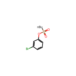 CCCCS(=O)(=O)Oc1cccc(Br)c1